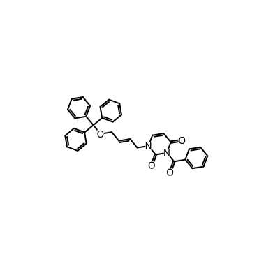 O=C(c1ccccc1)n1c(=O)ccn(CC=CCOC(c2ccccc2)(c2ccccc2)c2ccccc2)c1=O